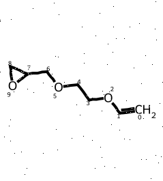 C=COCCOCC1CO1